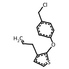 C=CCc1ccsc1Oc1ccc(CCl)cc1